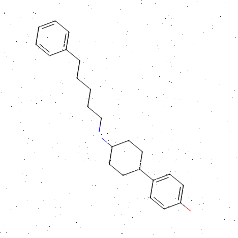 Oc1ccc(C2CCC(NCCCCCc3ccccc3)CC2)cc1